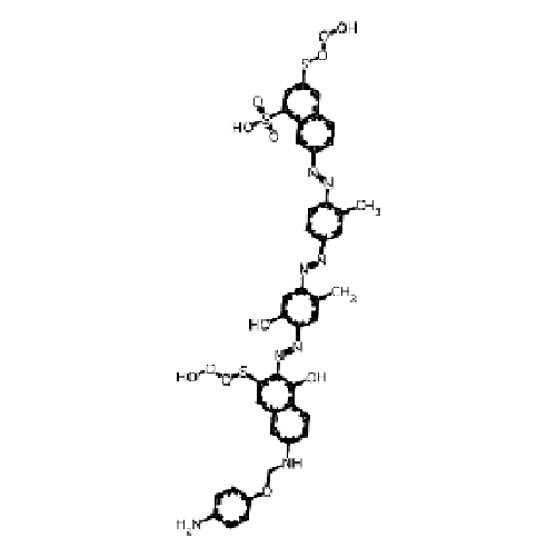 Cc1cc(N=Nc2cc(O)c(N=Nc3c(SOOO)cc4cc(NCOc5ccc(N)cc5)ccc4c3O)cc2C)ccc1N=Nc1ccc2cc(SOOO)cc(S(=O)(=O)O)c2c1